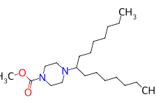 CCCCCCCC(CCCCCCC)N1CCN(C(=O)OC)CC1